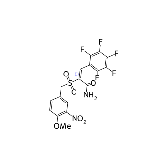 COc1ccc(CS(=O)(=O)/C(=C/c2c(F)c(F)c(F)c(F)c2F)C(N)=O)cc1[N+](=O)[O-]